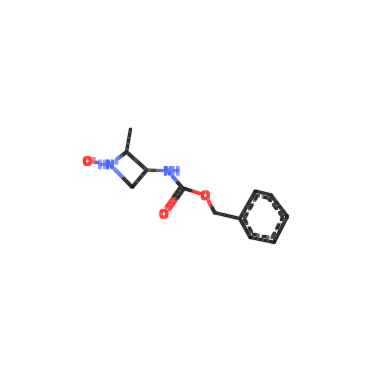 CC1C(NC(=O)OCc2ccccc2)C[NH+]1[O-]